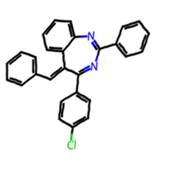 Clc1ccc(C2=NC(c3ccccc3)=Nc3ccccc3C2=Cc2ccccc2)cc1